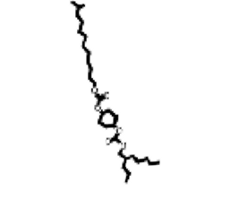 CCCCCC(CCC)COC(=O)OC1CCC(OC(=O)OCCCCCCCCCCC(C)C)CC1